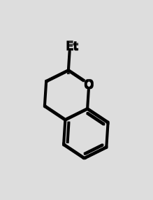 CC[C]1CCc2ccccc2O1